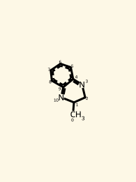 CC1CN=c2ccccc2=N1